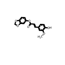 COc1cc(/C=C/C(=O)Oc2ccc3c(c2)OCO3)ccc1O